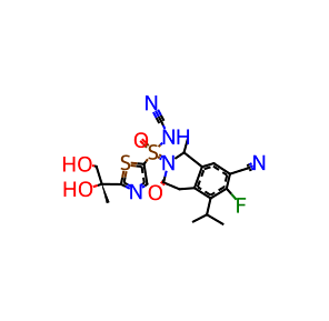 CC(C)c1cc(C#N)c(F)c(C(C)C)c1CC(=O)N=S(=O)(NC#N)c1cnc([C@](C)(O)CO)s1